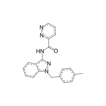 Cc1ccc(Cn2nc(NC(=O)c3cccnn3)c3ccccc32)cc1